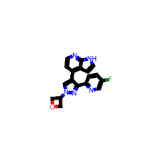 Fc1ccc(-c2nn(C3COC3)cc2-c2ccnc3[nH]ccc23)nc1